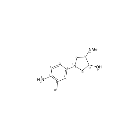 CNC1CN(c2ccc(N)c(C)c2)CC1O